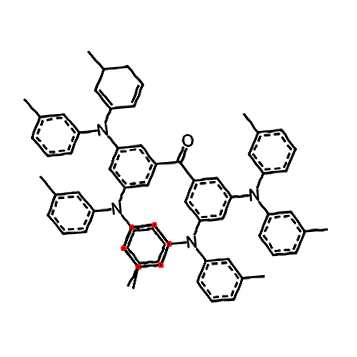 Cc1cccc(N(C2=CC(C)CC=C2)c2cc(C(=O)c3cc(N(c4cccc(C)c4)c4cccc(C)c4)cc(N(c4cccc(C)c4)c4cccc(C)c4)c3)cc(N(c3cccc(C)c3)c3cccc(C)c3)c2)c1